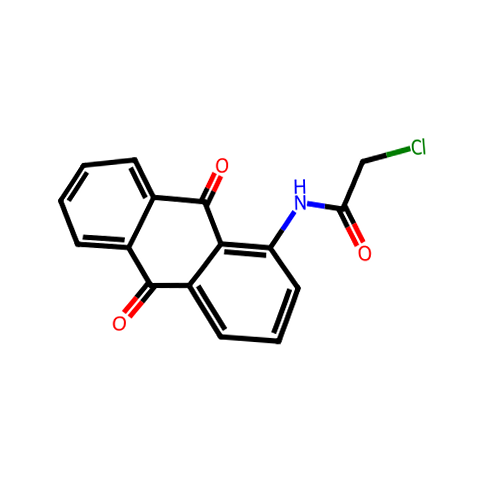 O=C(CCl)Nc1cccc2c1C(=O)c1ccccc1C2=O